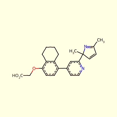 CC1=NC(C)(c2cc(-c3ccc(OCC(=O)O)c4c3CCCC4)ccn2)C=C1